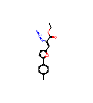 CCOC(=O)/C(=C/c1ccc(-c2ccc(C)cc2)o1)N=[N+]=[N-]